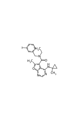 CCN(Cc1cccc(I)c1)C(=O)c1c(C)oc2ncnc(NC3(C)CC3)c12